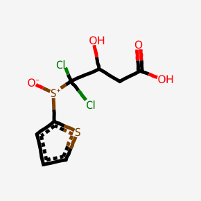 O=C(O)CC(O)C(Cl)(Cl)[S+]([O-])c1cccs1